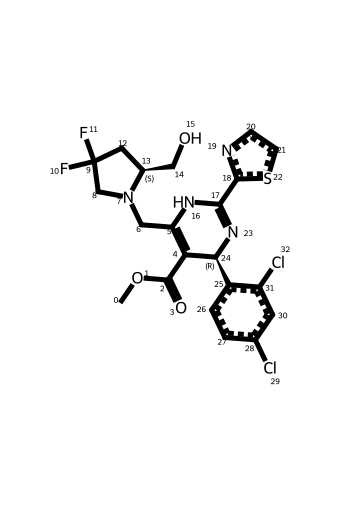 COC(=O)C1=C(CN2CC(F)(F)C[C@H]2CO)NC(c2nccs2)=N[C@H]1c1ccc(Cl)cc1Cl